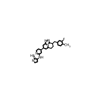 Cc1ccc(CC2CCc3cc(-c4ccnc(Nc5ccnn5S)c4)cc4nnc2n34)cc1F